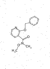 CON(C)C(=O)c1cccnc1OCc1ccccc1